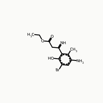 CCOC(=O)CC(=N)c1c(C)c(N)cc(Br)c1O